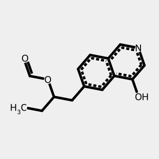 CCC(Cc1ccc2cncc(O)c2c1)OC=O